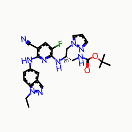 CCn1ncc2cc(Nc3nc(N[C@@H](CNC(=O)OC(C)(C)C)Cn4cccn4)c(F)cc3C#N)ccc21